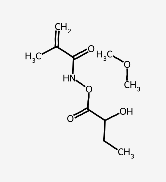 C=C(C)C(=O)NOC(=O)C(O)CC.COC